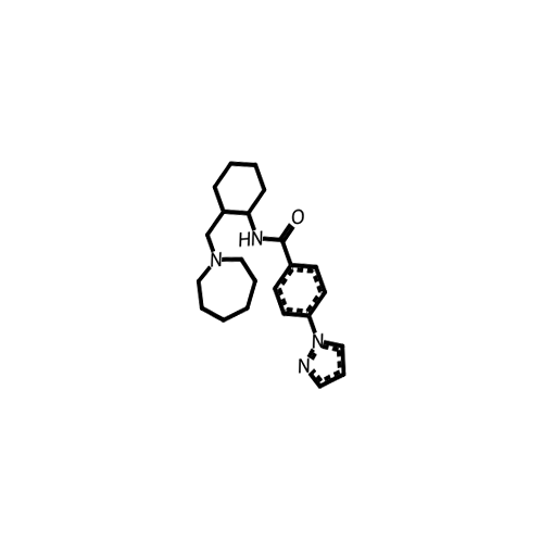 O=C(NC1CCCCC1CN1CCCCCC1)c1ccc(-n2cccn2)cc1